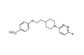 CCOC(=O)c1ccc(OCCC2CCN(c3ccc(F)nn3)CC2)cc1